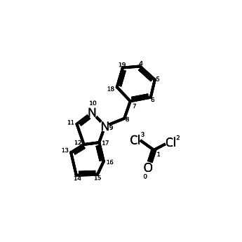 O=C(Cl)Cl.c1ccc(Cn2ncc3ccccc32)cc1